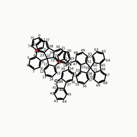 c1ccc(-c2ccccc2C2(c3ccccc3-c3ccccc3)c3ccccc3-c3ccc(N(c4ccc5c(c4)sc4ccccc45)c4cccc5c4-c4ccccc4C54c5ccccc5-c5ccccc54)cc32)cc1